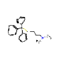 CN(C)CCCCSC(c1ccccc1)(c1ccccc1)c1ccccc1